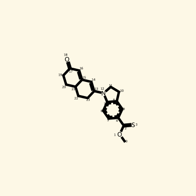 COC(=S)c1ccc2c(c1)CCN2C1=CC2=CC(=O)CCC2CC1